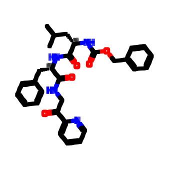 CC(C)C[C@H](NC(=O)OCc1ccccc1)C(=O)N[C@@H](Cc1ccccc1)C(=O)NCC(=O)c1ccccn1